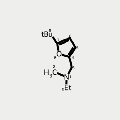 CCN(C)Cc1ccc(C(C)(C)C)o1